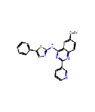 COc1ccc2nc(-c3cccnc3)nc(Nc3ncc(-c4ccccc4)s3)c2c1